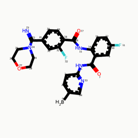 Bc1ccc(NC(=O)c2cc(F)ccc2NC(=O)c2ccc(C(=N)N3CCOCC3)cc2F)nc1